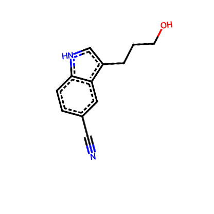 N#Cc1ccc2[nH]cc(CCCO)c2c1